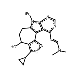 CC(C)n1c2c(c3c(/N=C/N(C)C)ncnc31)-c1noc(C3CC3)c1C(O)CC2